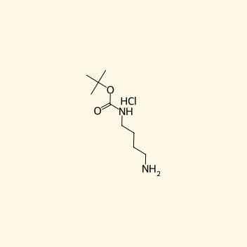 CC(C)(C)OC(=O)NCCCCN.Cl